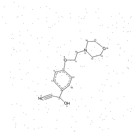 C#CC(O)c1ccc(OCCN2CCOCC2)cc1